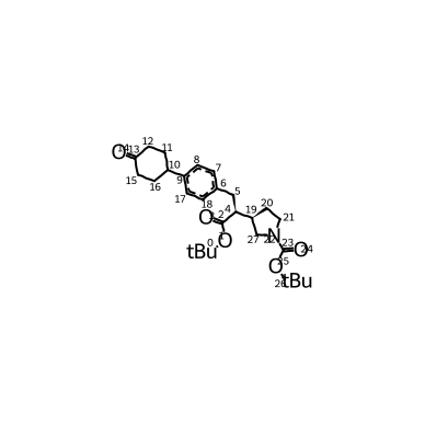 CC(C)(C)OC(=O)[C@@H](Cc1ccc(C2CCC(=O)CC2)cc1)[C@H]1CCN(C(=O)OC(C)(C)C)C1